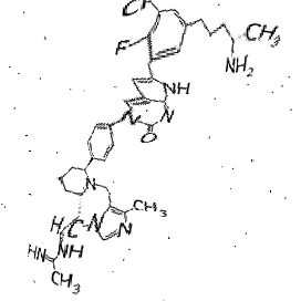 CC(=N)NCC[C@@H]1CCC[C@@H](c2ccc(-n3cc4cc(-c5cc(CCC[C@H](C)N)cc(Cl)c5F)[nH]c4nc3=O)cc2)N1Cc1c(C)ncn1C